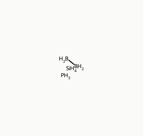 BB.P.[SiH4]